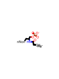 C=CC(=O)NC(CCCCCCCCCC)COS(=O)(=O)[O-].[Na+]